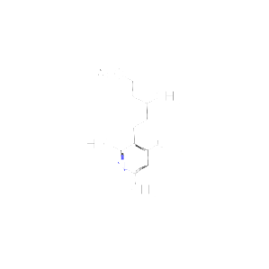 CC(=O)OCCC(C)CCc1c(C)cc(C)nc1C